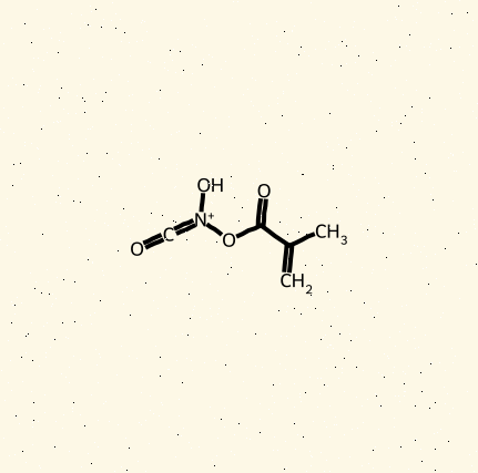 C=C(C)C(=O)O[N+](O)=C=O